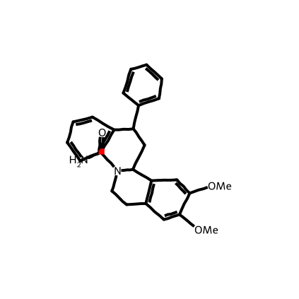 COc1cc2c(cc1OC)C(CC(c1ccccc1)c1ccccc1)N(C(N)=O)CC2